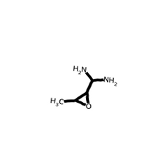 CC1OC1C(N)N